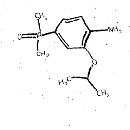 CC(C)Oc1cc(P(C)(C)=O)ccc1N